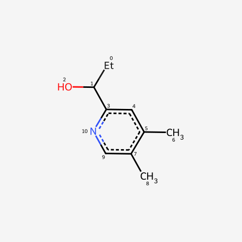 CCC(O)c1cc(C)c(C)cn1